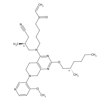 C=CC(=O)CCCCN(C[C@@H](C)CC#N)c1nc(OC[C@@H](C)CCCC)nc2c1CCN(c1cnccc1OC)C2